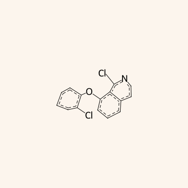 Clc1ccccc1Oc1cccc2ccnc(Cl)c12